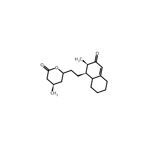 C[C@H]1CC(=O)OC(CC[C@@H]2C3CCCCC3=CC(=O)[C@@H]2C)C1